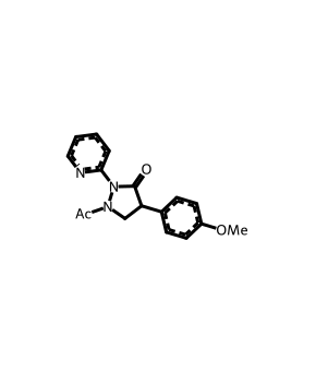 COc1ccc(C2CN(C(C)=O)N(c3ccccn3)C2=O)cc1